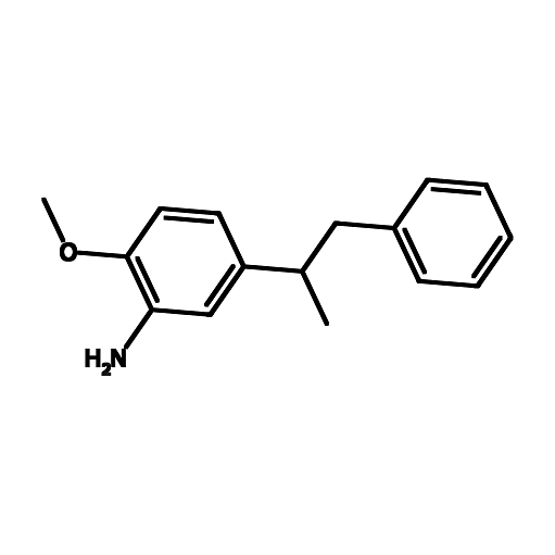 COc1ccc(C(C)Cc2ccccc2)cc1N